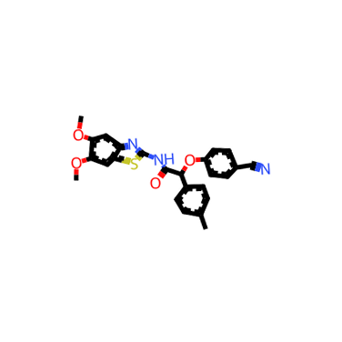 COc1cc2nc(NC(=O)C(Oc3ccc(C#N)cc3)c3ccc(C)cc3)sc2cc1OC